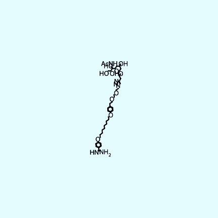 CC(=O)NC1C(O)CC(OCCc2cn(CCOCCOCCc3ccc(OCCCCCCCCCCOc4ccc(C(=N)N)cc4)cc3)nn2)OC1C(O)C(O)CO